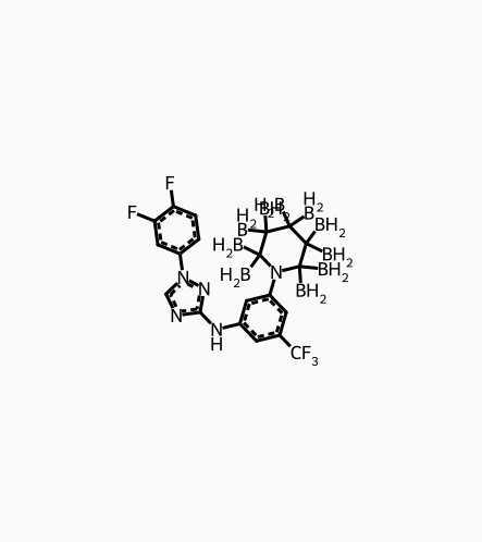 BC1(B)N(c2cc(Nc3ncn(-c4ccc(F)c(F)c4)n3)cc(C(F)(F)F)c2)C(B)(B)C(B)(B)C(B)(B)C1(B)B